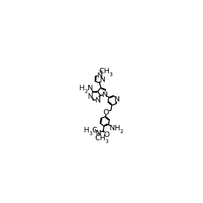 CN(C)C(=O)c1ccc(OCc2cncc(-n3cc(-c4ccn(C)n4)c4c(N)ncnc43)c2)cc1N